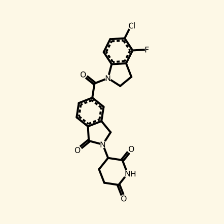 O=C1CCC(N2Cc3cc(C(=O)N4CCc5c4ccc(Cl)c5F)ccc3C2=O)C(=O)N1